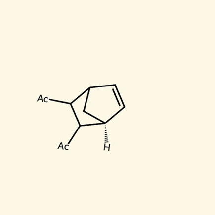 CC(=O)C1C2C=C[C@H](C2)C1C(C)=O